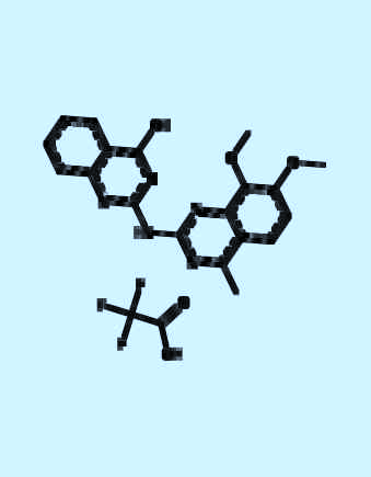 COc1ccc2c(C)nc(Nc3nc(O)c4ccccc4n3)nc2c1OC.O=C(O)C(F)(F)F